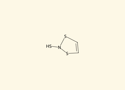 SN1SC=CS1